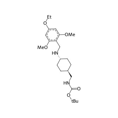 CCOc1cc(OC)c(CN[C@H]2CC[C@H](CNC(=O)OC(C)(C)C)CC2)c(OC)c1